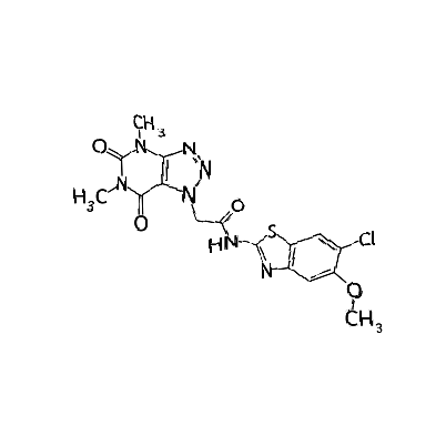 COc1cc2nc(NC(=O)Cn3nnc4c3c(=O)n(C)c(=O)n4C)sc2cc1Cl